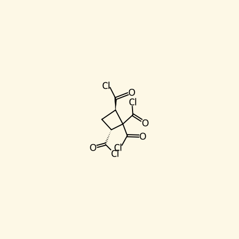 O=C(Cl)[C@@H]1C[C@@H](C(=O)Cl)C1(C(=O)Cl)C(=O)Cl